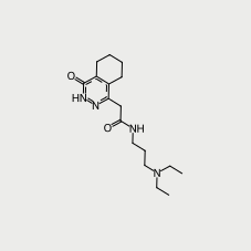 CCN(CC)CCCNC(=O)Cc1n[nH]c(=O)c2c1CCCC2